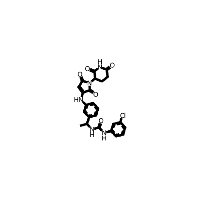 CC(NC(=O)Nc1cccc(Cl)c1)c1cccc(NC2=CC(=O)N(C3CCC(=O)NC3=O)C2=O)c1